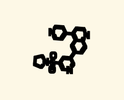 O=S(=O)(c1cncc(-c2ccc3nccc(-c4ccncc4)c3c2)c1)N1CCCC1